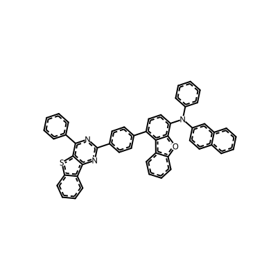 c1ccc(-c2nc(-c3ccc(-c4ccc(N(c5ccccc5)c5ccc6ccccc6c5)c5oc6ccccc6c45)cc3)nc3c2sc2ccccc23)cc1